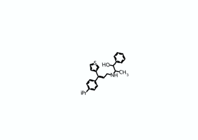 CC(C)c1ccc(C(=CCNC(C)C(O)c2ccccc2)c2ccsc2)cc1